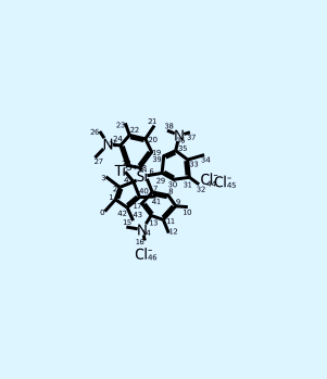 CC1=C(C)[C]([Ti+3])([Si](c2cc(C)c(C)c(N(C)C)c2)(c2cc(C)c(C)c(N(C)C)c2)c2cc(C)c(C)c(N(C)C)c2)C(C)=C1C.[Cl-].[Cl-].[Cl-]